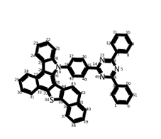 c1ccc(-c2nc(-c3ccccc3)nc(-c3ccc(-n4c5ccccc5c5c6ccccc6c6sc7c8ccccc8ccc7c6c54)cc3)n2)cc1